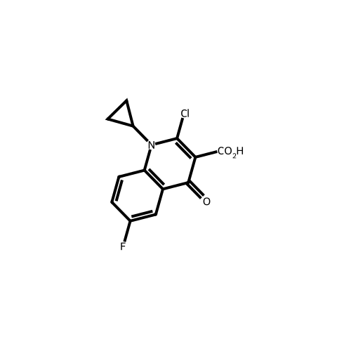 O=C(O)c1c(Cl)n(C2CC2)c2ccc(F)cc2c1=O